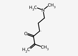 C=C(C)C(=O)[CH]CCN(C)C